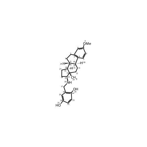 COc1ccc2c(c1)CC[C@@H]1[C@@H]2CC[C@]2(C)[C@@H](NCc3cc(O)ccc3O)CC[C@@H]12